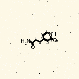 NC(=O)CCc1cc[nH]c(=O)c1